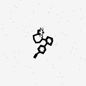 C#Cc1ccc(-c2ccccc2C2CCCCc3cncn32)cc1